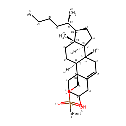 CCCCCS(=O)(=O)OC[C@]12CCC(O)CC1=CC[C@@H]1[C@@H]2CC[C@]2(C)[C@@H]([C@H](C)CCCC(C)C)CC[C@@H]12